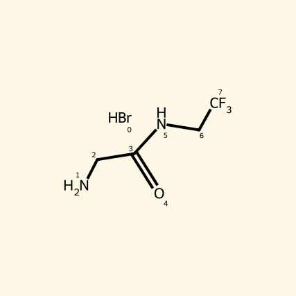 Br.NCC(=O)NCC(F)(F)F